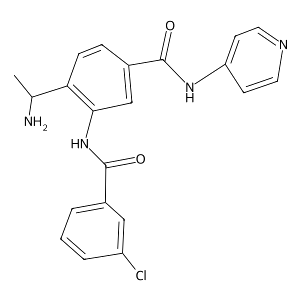 CC(N)c1ccc(C(=O)Nc2ccncc2)cc1NC(=O)c1cccc(Cl)c1